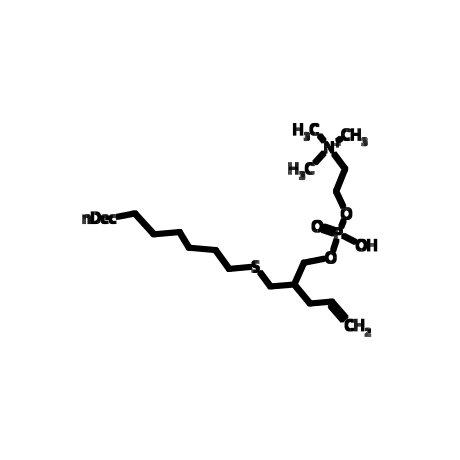 C=CCC(COP(=O)(O)OCC[N+](C)(C)C)CSCCCCCCCCCCCCCCCC